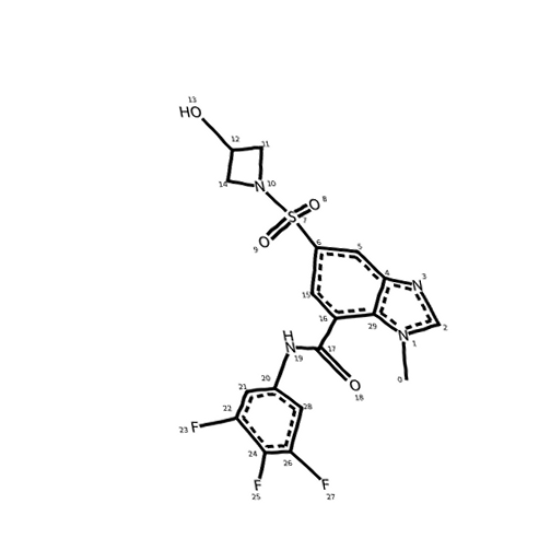 Cn1cnc2cc(S(=O)(=O)N3CC(O)C3)cc(C(=O)Nc3cc(F)c(F)c(F)c3)c21